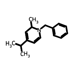 CC(C)C1=CC(C)N(Cc2ccccc2)C=C1